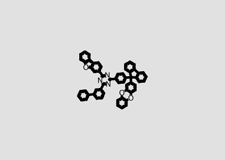 c1ccc(-c2cccc(-c3nc(-c4ccc(C5(c6ccc7c(c6)Oc6ccccc6O7)c6ccccc6-c6ccccc65)cc4)nc(-c4ccc5c(c4)oc4ccccc45)n3)c2)cc1